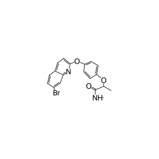 CC(Oc1ccc(Oc2ccc3ccc(Br)cc3n2)cc1)C([NH])=O